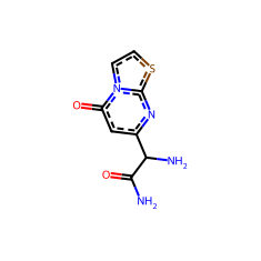 NC(=O)C(N)c1cc(=O)n2ccsc2n1